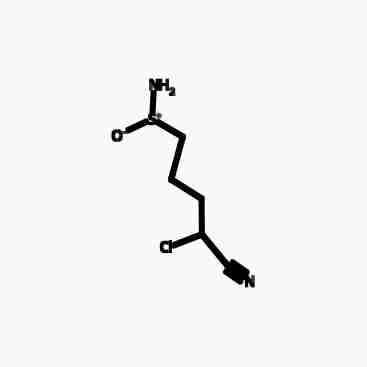 N#CC(Cl)CCC[S+](N)[O-]